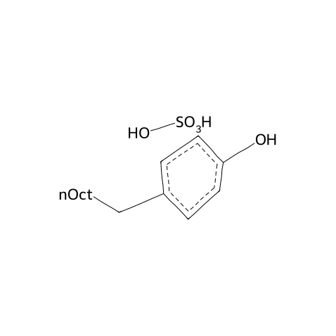 CCCCCCCCCc1ccc(O)cc1.O=S(=O)(O)O